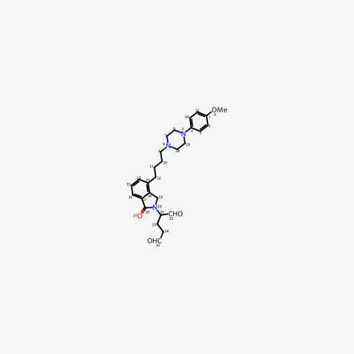 COc1ccc(N2CCN(CCCCc3cccc4c3CN(C(C=O)CCC=O)C4=O)CC2)cc1